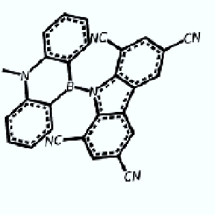 CN1c2ccccc2B(n2c3c(C#N)cc(C#N)cc3c3cc(C#N)cc(C#N)c32)c2ccccc21